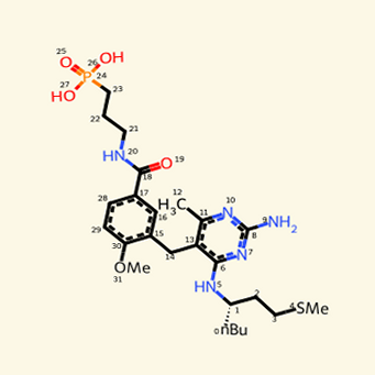 CCCC[C@@H](CCSC)Nc1nc(N)nc(C)c1Cc1cc(C(=O)NCCCP(=O)(O)O)ccc1OC